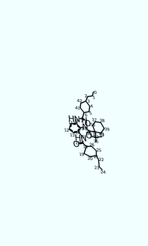 CCCC1CCC(C(=O)Nc2cccc(NC(=O)C3CCC(CCC)CC3)c2NC(=O)C2(C(C)(C)C)CCCCC2)CC1